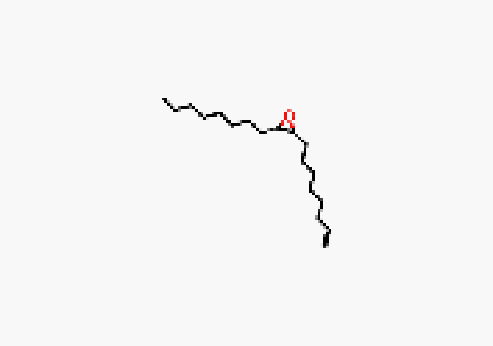 C=CCCCCCC[C@@H]1O[C@@H]1CCCCCCCC